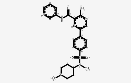 CN1CCC(N(C)S(=O)(=O)c2ccc(-c3cnc(N)c(C(=O)Nc4cccnc4)n3)cc2)CC1